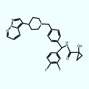 O=C(NC(c1ccc(CN2CCC(c3cnn4ncccc34)CC2)cc1)c1ccc(F)c(F)c1)C1(O)CC1